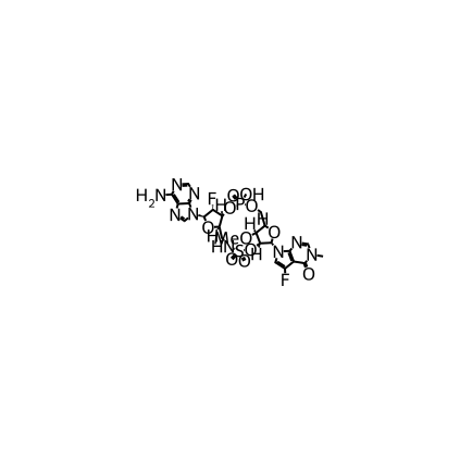 CO[C@H]1[C@H]2OS(=O)(=O)NC[C@H]3O[C@@H](n4cnc5c(N)ncnc54)[C@H](F)[C@@H]3OP(=O)(O)OC[C@H]1O[C@H]2n1cc(F)c2c(=O)n(C)cnc21